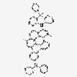 Cc1cc2c3ccc(N(c4ccccc4)c4ccccc4)cc3c3cccc4c5c(C)cc(B(c6ccccc6)c6cccc7c6C(C)(C)c6ccccc6-7)c6ccc1c(c65)c2c34